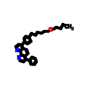 CCCCCOCCCCCCc1ccc(-c2ccnc3c2ccc2c(-c4ccccc4)ccnc23)cc1